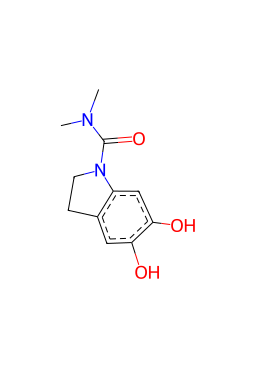 CN(C)C(=O)N1CCc2cc(O)c(O)cc21